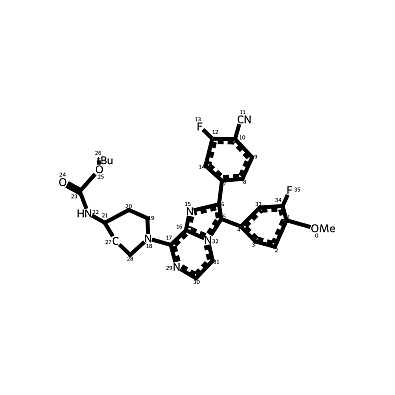 COc1ccc(-c2c(-c3ccc(C#N)c(F)c3)nc3c(N4CCC(NC(=O)OC(C)(C)C)CC4)nccn23)cc1F